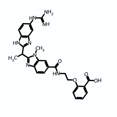 CC(c1nc2cc(NC(=N)N)ccc2[nH]1)c1nc2ccc(C(=O)NCCOc3ccccc3C(=O)O)cc2n1C